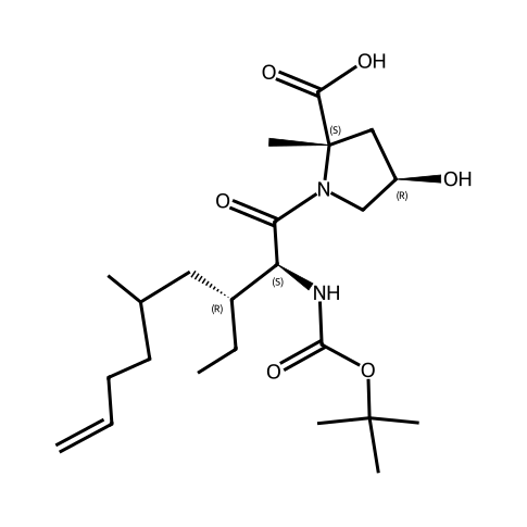 C=CCCC(C)C[C@@H](CC)[C@H](NC(=O)OC(C)(C)C)C(=O)N1C[C@H](O)C[C@@]1(C)C(=O)O